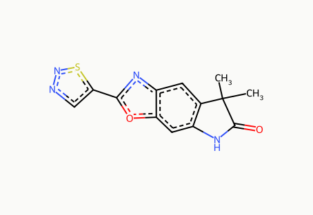 CC1(C)C(=O)Nc2cc3oc(-c4cnns4)nc3cc21